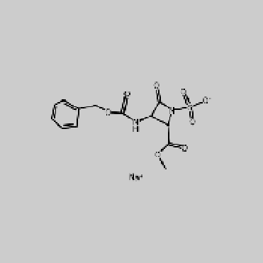 COC(=O)[C@H]1[C@@H](NC(=O)OCc2ccccc2)C(=O)N1S(=O)(=O)[O-].[Na+]